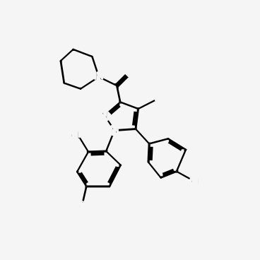 Cc1c(C(=O)N2CCCCC2)nn(-c2ccc(Cl)cc2Cl)c1-c1ccc(Cl)cc1